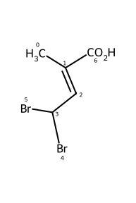 CC(=CC(Br)Br)C(=O)O